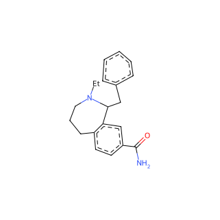 CCN1CCCc2ccc(C(N)=O)cc2C1Cc1ccccc1